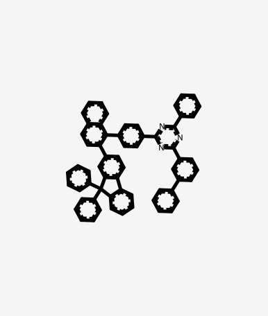 c1ccc(-c2cccc(-c3nc(-c4ccccc4)nc(-c4ccc(-c5c(-c6ccc7c(c6)C(c6ccccc6)(c6ccccc6)c6ccccc6-7)ccc6ccccc56)cc4)n3)c2)cc1